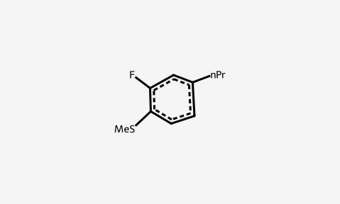 CCCc1ccc(SC)c(F)c1